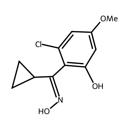 COc1cc(O)c(C(=NO)C2CC2)c(Cl)c1